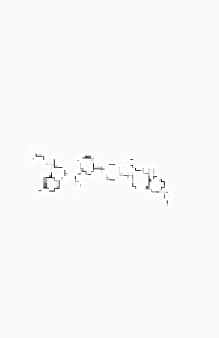 COCCC1(C)CN(C(=O)c2cc(N3CCC(N4CCc5cc(OC)ccc5NC4=O)CC3)ncn2)c2ccc(C)cc21